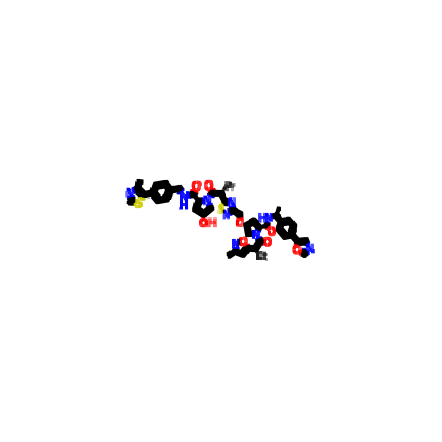 CC[C@@H](C(=O)N1C[C@H](OCc2nsc([C@H](C(=O)N3C[C@H](O)C[C@H]3C(=O)NCc3ccc(-c4scnc4C)cc3)C(C)C)n2)C[C@H]1C(=O)N[C@@H](C)c1ccc(-c2cnco2)cc1)c1cc(C)no1